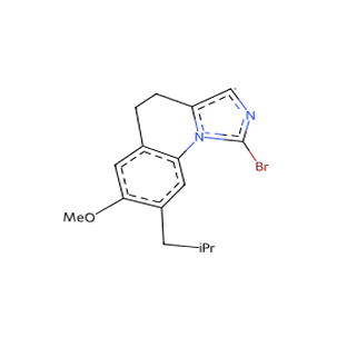 COc1cc2c(cc1CC(C)C)-n1c([c]nc1Br)CC2